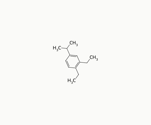 CCc1ccc(C(C)C)cc1CC